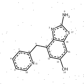 Nc1nc2c(Cc3ccccn3)cc(O)cc2s1